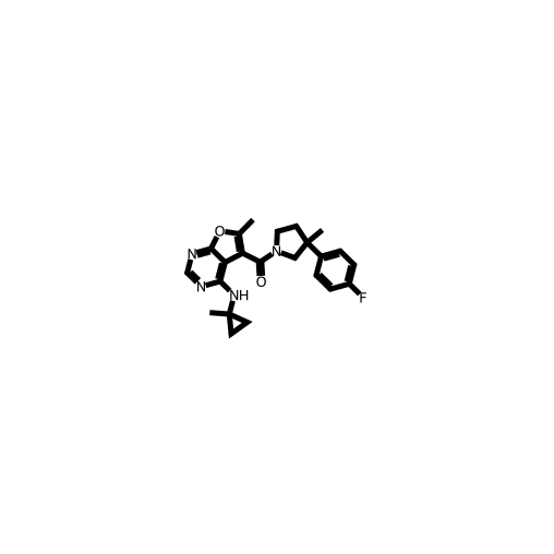 Cc1oc2ncnc(NC3(C)CC3)c2c1C(=O)N1CCC(C)(c2ccc(F)cc2)C1